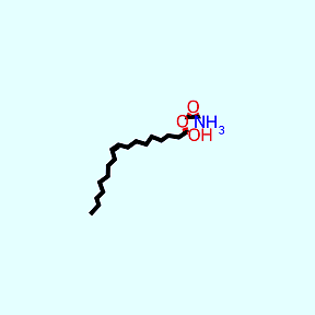 C1CO1.CCCCCCCC/C=C\CCCCCCCC(=O)O.N